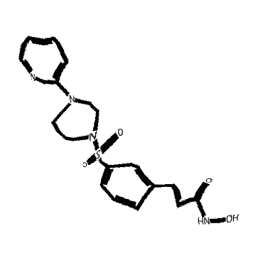 O=C(C=Cc1cccc(S(=O)(=O)N2CCN(c3ccccn3)CC2)c1)NO